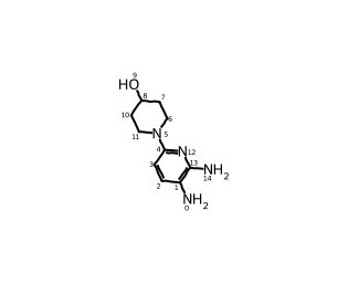 Nc1ccc(N2CCC(O)CC2)nc1N